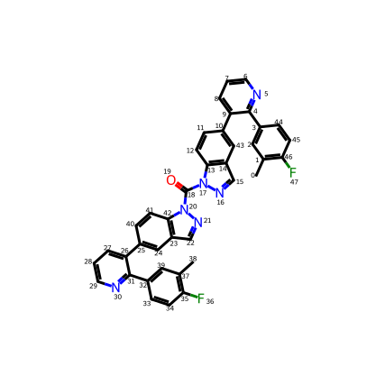 Cc1cc(-c2ncccc2-c2ccc3c(cnn3C(=O)n3ncc4cc(-c5cccnc5-c5ccc(F)c(C)c5)ccc43)c2)ccc1F